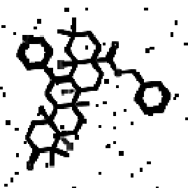 CC1(C)CC[C@]2(C(=O)OCc3ccccc3)CC[C@]3(C)C(=C(c4ccncc4)CC4[C@@]5(C)CCC(=O)C(C)(C)[C@@H]5CC[C@]43C)[C@@H]2C1